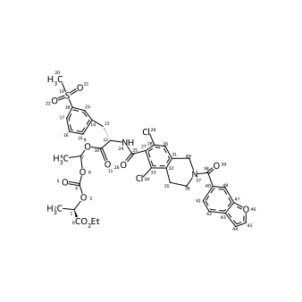 CCOC(=O)[C@@H](C)OC(=O)OC(C)OC(=O)[C@H](Cc1cccc(S(C)(=O)=O)c1)NC(=O)c1c(Cl)cc2c(c1Cl)CCN(C(=O)c1ccc3ccoc3c1)C2